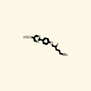 CCCCCCCCc1cnc(-c2ccc(OCC(F)CCCC(C)CC)cc2)nc1